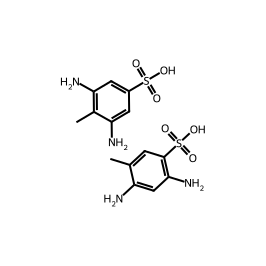 Cc1c(N)cc(S(=O)(=O)O)cc1N.Cc1cc(S(=O)(=O)O)c(N)cc1N